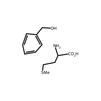 CSCCC(N)C(=O)O.OCc1ccccc1